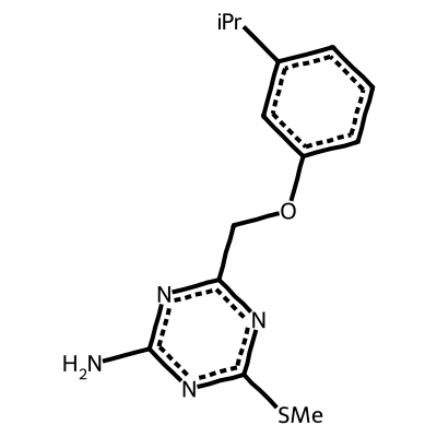 CSc1nc(N)nc(COc2cccc(C(C)C)c2)n1